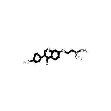 CN(C)CCOc1ccc2c(=O)c(-c3ccc(O)cc3)coc2c1